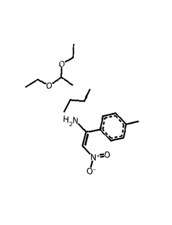 CCCC.CCOC(C)OCC.Cc1ccc(/C(N)=C\[N+](=O)[O-])cc1